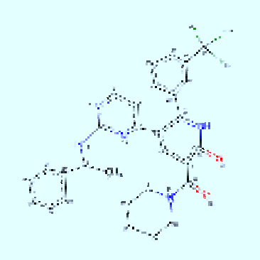 CC(Nc1nccc(-c2cc(C(=O)N3CCCCC3)c(=O)[nH]c2-c2cccc(C(F)(F)F)c2)n1)c1ccccc1